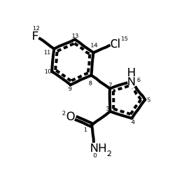 NC(=O)c1cc[nH]c1-c1ccc(F)cc1Cl